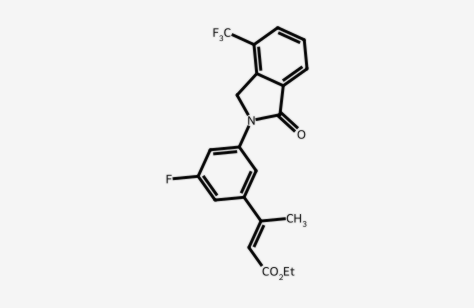 CCOC(=O)/C=C(\C)c1cc(F)cc(N2Cc3c(cccc3C(F)(F)F)C2=O)c1